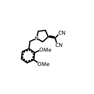 COc1cccc(CN2CCC(=C(C#N)C#N)C2)c1OC